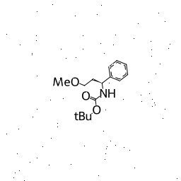 COCC[C@H](NC(=O)OC(C)(C)C)c1ccccc1